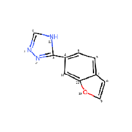 c1nnc(-c2ccc3ccoc3c2)[nH]1